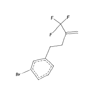 C=C(CCc1cccc(Br)c1)C(F)(F)F